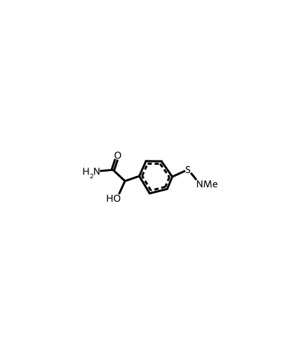 CNSc1ccc(C(O)C(N)=O)cc1